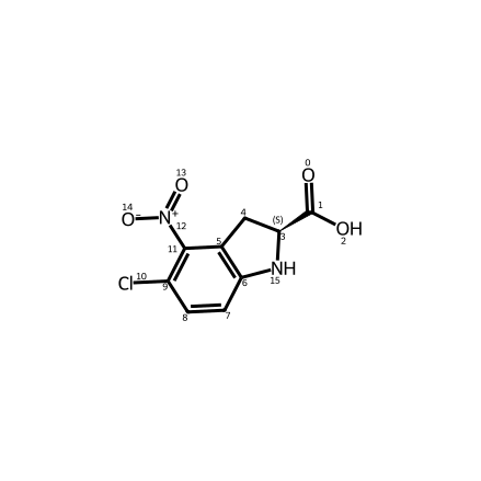 O=C(O)[C@@H]1Cc2c(ccc(Cl)c2[N+](=O)[O-])N1